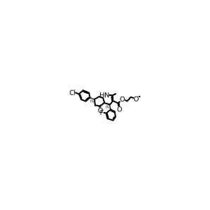 COCCOC(=O)C1=C(C)NC2C[C@H](c3ccc(Cl)cc3)CC(=O)C2[C@@H]1c1ccccc1F